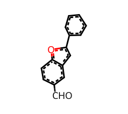 O=Cc1ccc2oc(-c3ccccc3)cc2c1